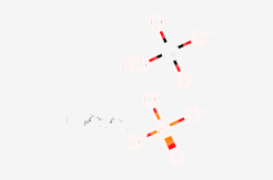 O=P([O-])([O-])[O-].[Ca+2].[Ca+2].[Ca+2].[O-][Si]([O-])([O-])O